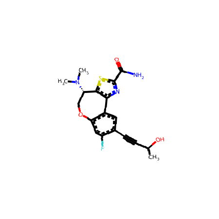 CC(O)C#Cc1cc2c(cc1F)OC[C@H](N(C)C)c1sc(C(N)=O)nc1-2